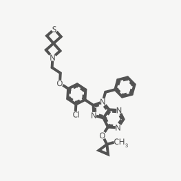 CC1(Oc2ncnc3c2nc(-c2ccc(OCCN4CC5(CSC5)C4)cc2Cl)n3Cc2ccccc2)CC1